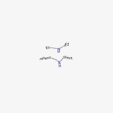 CCCCCNCCCCC.CCNCC